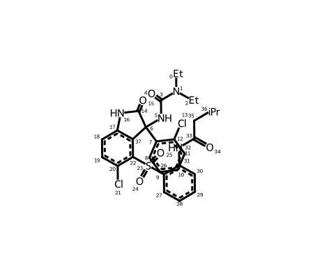 CCN(CC)C(=O)NC1(c2ccccc2Cl)C(=O)Nc2ccc(Cl)c(S(=O)(=O)c3ccccc3NC(=O)CC(C)C)c21